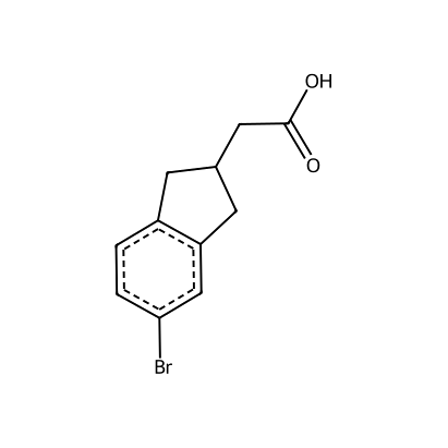 O=C(O)CC1Cc2ccc(Br)cc2C1